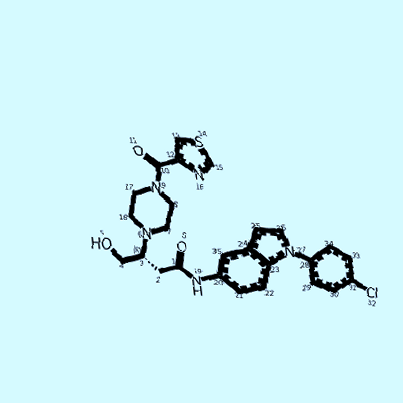 O=C(C[C@H](CO)N1CCN(C(=O)c2cscn2)CC1)Nc1ccc2c(ccn2-c2ccc(Cl)cc2)c1